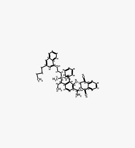 CCCCc1cc2ccccc2c(OCC[N+](C)(C)C(CC)c2ccc(C(N)=O)c(O[C@H]3CC(=O)c4ccccc4C3=O)c2-c2ccccc2)n1